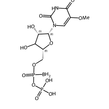 BP(=O)(OC[C@H]1O[C@@H](n2cc(OC)c(=O)[nH]c2=O)[C@@H](O)C1O)OP(=O)(O)O